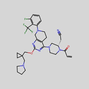 C=CC(=O)N1CCN(c2nc(OCC3(CN4CCCC4)CC3)nc3c2CCN(c2cccc(F)c2C(F)(F)F)C3)C[C@@H]1CC#N